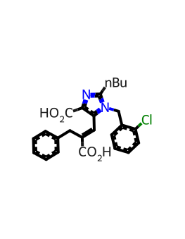 CCCCc1nc(C(=O)O)c(/C=C(\Cc2ccccc2)C(=O)O)n1Cc1ccccc1Cl